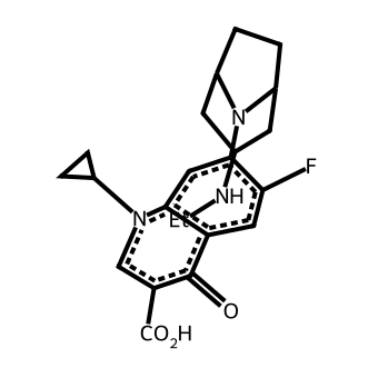 CCNC1CC2CCC(C1)N2c1cc2c(cc1F)c(=O)c(C(=O)O)cn2C1CC1